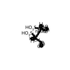 CCCCC(C(=O)ON1C(=O)CCC1=O)C1(C)/C(=C/C=C/C=C/C=C/C2=[N+](CCCS(=O)(=O)O)c3cc(I)c(I)c(I)c3C2(C)CCCCCC(=O)ON2C(=O)CCC2=O)N(CCCS(=O)(=O)O)c2cc(I)c(I)c(I)c21